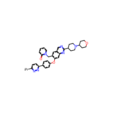 CC(C)c1ccc(-c2ccc(Oc3cc4nc(C5CCN(C6CCOCC6)CC5)ncc4cc3Cn3ccccc3=O)cc2)nn1